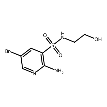 Nc1ncc(Br)cc1S(=O)(=O)NCCO